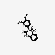 COc1ccc(N2C(=O)Nc3ccccc3S2(=O)=O)nc1OC